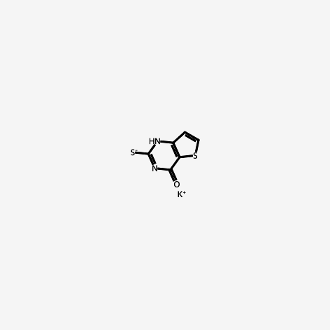 O=c1nc([S-])[nH]c2ccsc12.[K+]